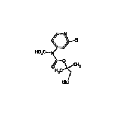 CC(C)(C)CC(C)(C)OC(=O)N(C(=O)O)c1ccnc(Cl)c1